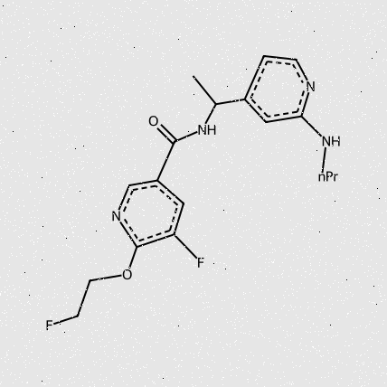 CCCNc1cc(C(C)NC(=O)c2cnc(OCCF)c(F)c2)ccn1